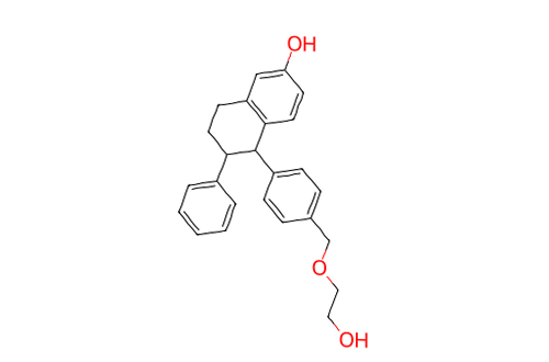 OCCOCc1ccc(C2c3ccc(O)cc3CCC2c2ccccc2)cc1